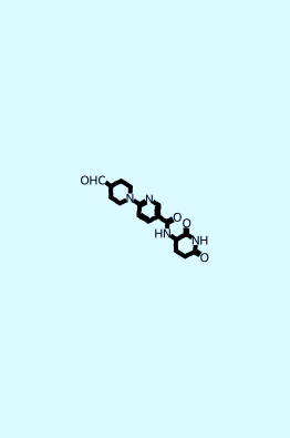 O=CC1CCN(c2ccc(C(=O)NC3CCC(=O)NC3=O)cn2)CC1